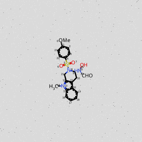 COc1ccc(S(=O)(=O)N2CCc3c(n(C)c4ccccc34)C2)cc1.O=CNO